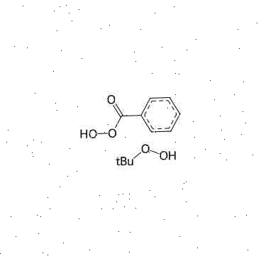 CC(C)(C)OO.O=C(OO)c1ccccc1